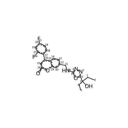 CCC(O)(CC)c1nnc(NCc2ccc3c(-c4ccc(F)cc4F)cc(=O)oc3c2)o1